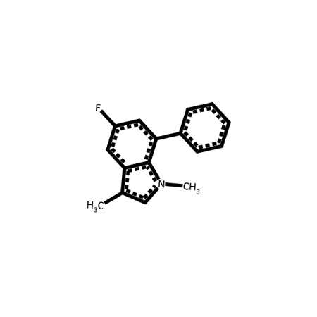 Cc1cn(C)c2c(-c3ccccc3)cc(F)cc12